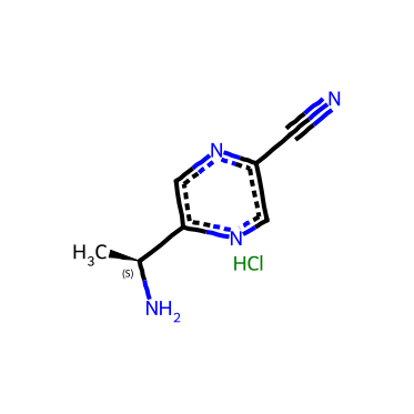 C[C@H](N)c1cnc(C#N)cn1.Cl